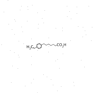 C=Cc1ccc(CCCCCCC(=O)O)cc1